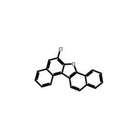 Clc1cc2ccccc2c2c1oc1c3ccccc3ccc12